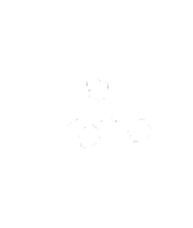 CC=CC[C@@H](NP(=O)(c1ccccc1)c1ccccc1)c1ccccc1